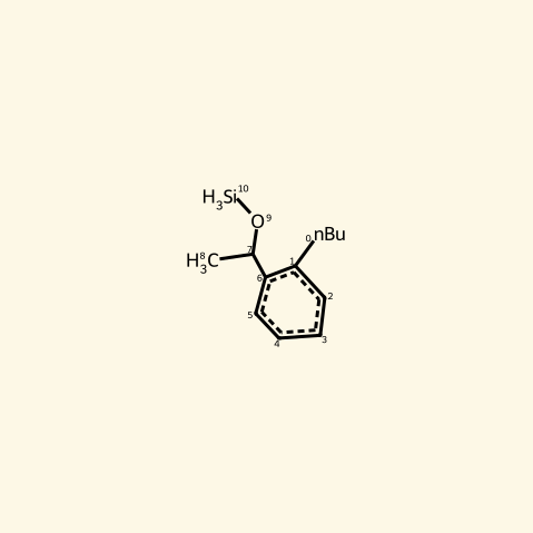 CCCCc1ccccc1C(C)O[SiH3]